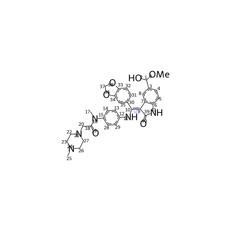 COC(O)c1ccc2c(c1)/C(=C(/Nc1ccc(N(C)C(=O)CN3CCN(C)CC3)cc1)c1ccc3c(c1)OCO3)C(=O)N2